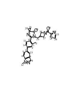 Cc1cc(-c2ccc3c(cnn3C)c2)ccc1C1=NC2(CC2)C(=O)N1CC1CN(C(=O)c2nccs2)C1